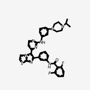 CC(C)N1CCN(c2cccc(Nc3nccc(-c4c(-c5cccc(NC(=O)c6c(F)cccc6F)c5)nc5sccn45)n3)c2)CC1